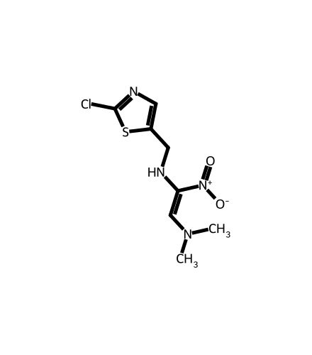 CN(C)C=C(NCc1cnc(Cl)s1)[N+](=O)[O-]